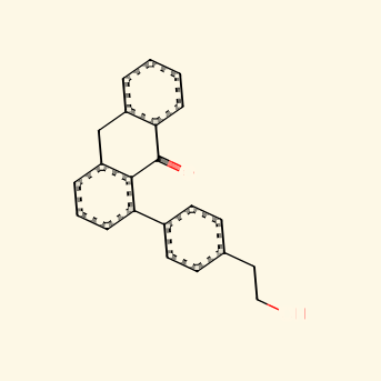 O=C1c2ccccc2Cc2cccc(-c3ccc(CCO)cc3)c21